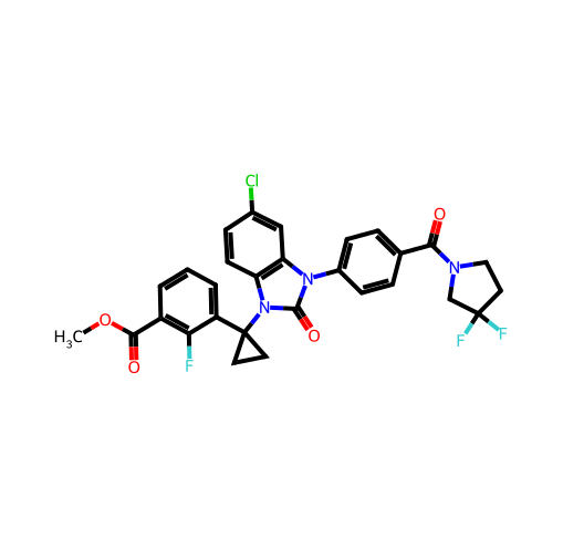 COC(=O)c1cccc(C2(n3c(=O)n(-c4ccc(C(=O)N5CCC(F)(F)C5)cc4)c4cc(Cl)ccc43)CC2)c1F